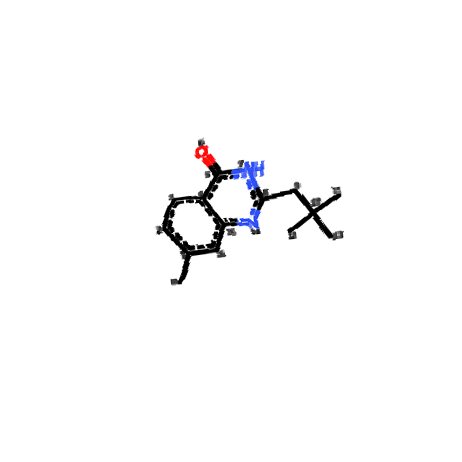 Cc1ccc2c(=O)[nH]c(CC(C)(C)C)nc2c1